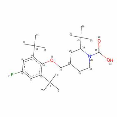 CC(C)(C)c1cc(F)cc(C(C)(C)C)c1OCC1CCN(C(=O)O)C(C(C)(C)C)C1